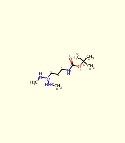 CNN(CCCNC(=O)OC(C)(C)C)NC